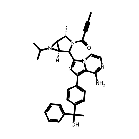 CC#CC(=O)N1C(c2nc(-c3ccc(C(C)(O)c4ccccc4)cc3)c3c(N)nccn23)[C@@H]2C([C@@H]1C)N2C(C)C